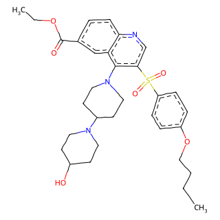 CCCCOc1ccc(S(=O)(=O)c2cnc3ccc(C(=O)OCC)cc3c2N2CCC(N3CCC(O)CC3)CC2)cc1